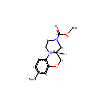 CNc1ccc2c(c1)OC[C@H]1CN(C(=O)OC(C)(C)C)CCN21